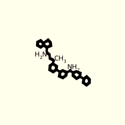 C/C(=C\C=C(/N)c1cccc2ccccc12)c1cccc(-c2cccc(C(N)c3ccc(-c4ccccc4)cc3)c2)c1